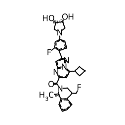 C[C@@H]1c2ccccc2C(CF)CN1C(=O)c1cc(C2CCC2)n2nc(-c3ccc(N4C[C@@H](O)[C@H](O)C4)cc3F)cc2n1